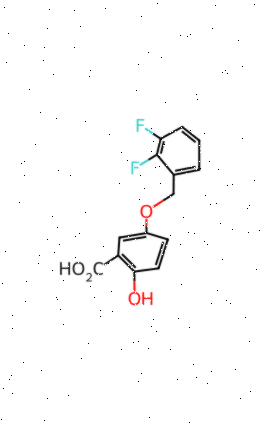 O=C(O)c1cc(OCc2cccc(F)c2F)ccc1O